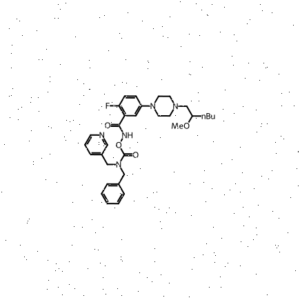 CCCCC(CN1CCN(c2ccc(F)c(C(=O)NOC(=O)N(Cc3ccccc3)Cc3cccnc3)c2)CC1)OC